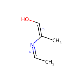 C/C=N\C(C)=C/O